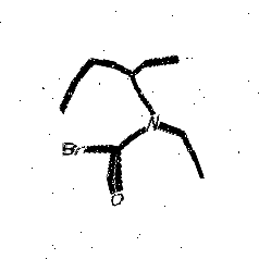 CCC(C)N(CC)C(=O)Br